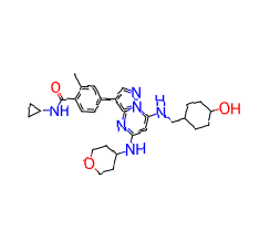 Cc1cc(-c2cnn3c(NCC4CCC(O)CC4)cc(NC4CCOCC4)nc23)ccc1C(=O)NC1CC1